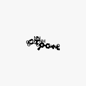 C#Cc1cc(C2CCN(C3CN(C(=O)C=C)C3)CC2)cc2c1O[C@@H](C)c1c(ncnc1N1CCS(=O)(=O)CC1)N2